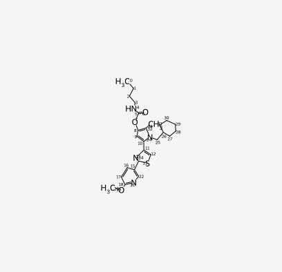 CCCCNC(=O)Oc1cc(-c2csc(-c3ccc(OC)nc3)n2)n(CC2CCCCC2)c1C